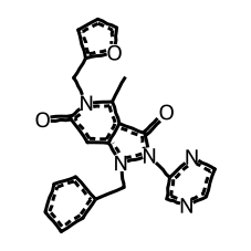 Cc1c2c(=O)n(-c3cnccn3)n(Cc3ccccc3)c2cc(=O)n1Cc1ccco1